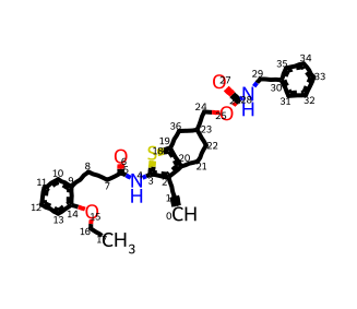 C#Cc1c(NC(=O)CCc2ccccc2OCC)sc2c1CCC(COC(=O)NCc1ccccc1)C2